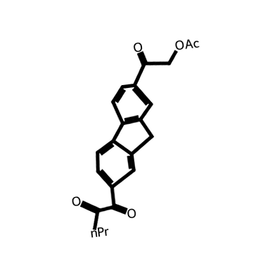 CCCC(=O)C(=O)c1ccc2c(c1)Cc1cc(C(=O)COC(C)=O)ccc1-2